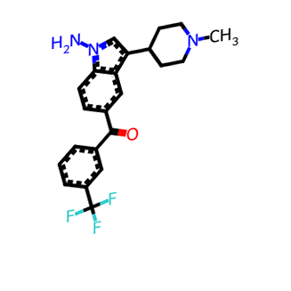 CN1CCC(c2cn(N)c3ccc(C(=O)c4cccc(C(F)(F)F)c4)cc23)CC1